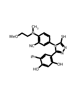 COCCN(C)c1ccc(-n2c(S)nnc2-c2cc(C(C)C)c(O)cc2O)cc1C#N